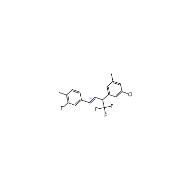 Cc1cc(Cl)cc(C(/C=C/c2ccc(C)c(F)c2)C(F)(F)F)c1